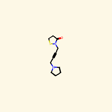 O=C1CCSN1CC#CCN1CCCC1